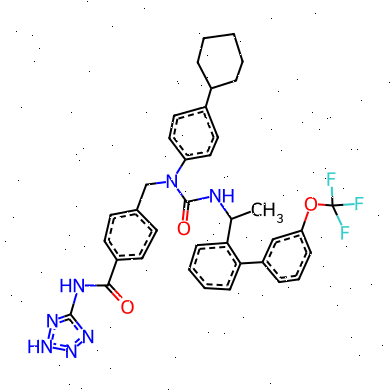 CC(NC(=O)N(Cc1ccc(C(=O)Nc2nn[nH]n2)cc1)c1ccc(C2CCCCC2)cc1)c1ccccc1-c1cccc(OC(F)(F)F)c1